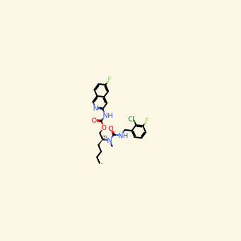 [CH2]CCC[C@@H](COC(=O)Nc1cc2cc(F)ccc2cn1)N(C)C(=O)NCc1cccc(F)c1Cl